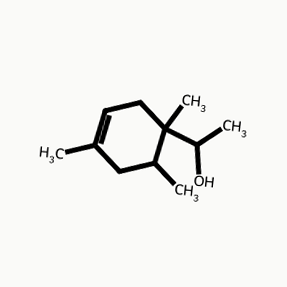 CC1=CCC(C)(C(C)O)C(C)C1